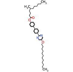 CCCCCCCCCCCCOc1cnc(-c2ccc(-c3ccc(OC(=O)CCC[C@@H](C)CCCCCC)cc3)cc2)nc1